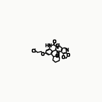 O=c1nc(Nc2c(Cl)cnc3c2OCO3)c2c(C3CCCCO3)cc(OCCCl)cc2[nH]1